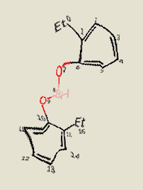 CCc1ccccc1OBOc1ccccc1CC